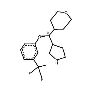 FC(F)(F)c1cccc(O[C@@H](C2CCOCC2)C2CCNC2)c1